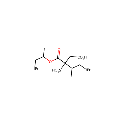 CC(C)CC(C)OC(=O)C(CC(=O)O)(C(C)CC(C)C)S(=O)(=O)O